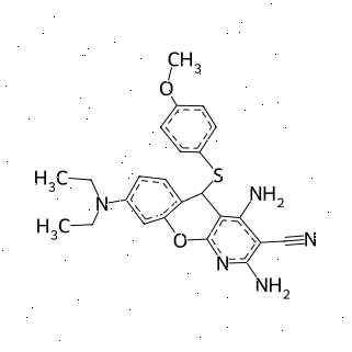 CCN(CC)c1ccc2c(c1)Oc1nc(N)c(C#N)c(N)c1C2Sc1ccc(OC)cc1